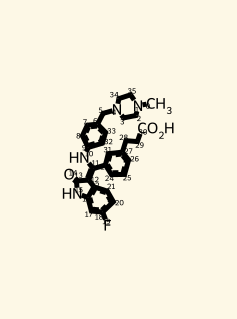 CN1CCN(Cc2ccc(N/C(=C3\C(=O)Nc4cc(F)ccc43)c3cccc(CCC(=O)O)c3)cc2)CC1